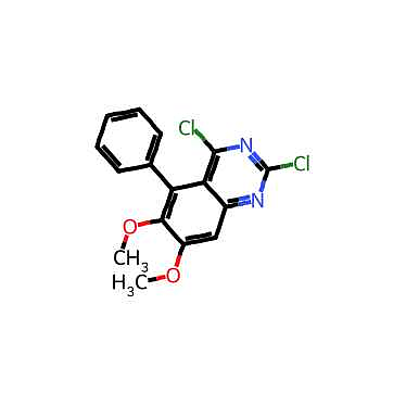 COc1cc2nc(Cl)nc(Cl)c2c(-c2ccccc2)c1OC